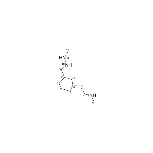 CNCC[C@@H]1CCCC(CNNC)C1